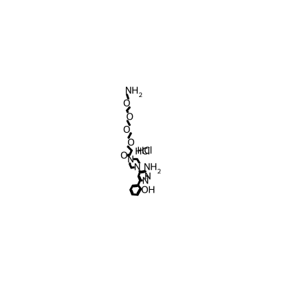 Cl.Cl.NCCOCCOCCOCCOCCC(=O)N1CCN(c2cc(-c3ccccc3O)nnc2N)CC1